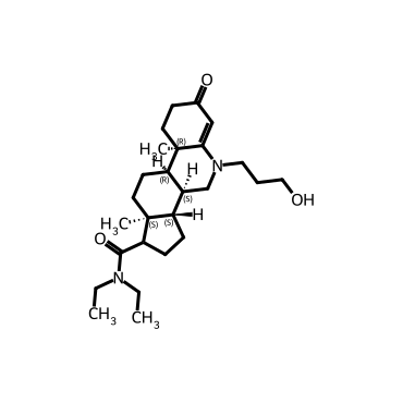 CCN(CC)C(=O)C1CC[C@H]2[C@@H]3CN(CCCO)C4=CC(=O)CC[C@]4(C)[C@@H]3CC[C@]12C